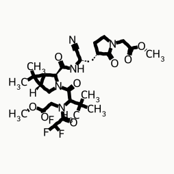 COC(=O)CN1CC[C@@H](C[C@@H](C#N)NC(=O)[C@@H]2C3[C@H](CN2C(=O)C(N(CC(=O)OC)C(=O)C(F)(F)F)C(C)(C)C)C3(C)C)C1=O